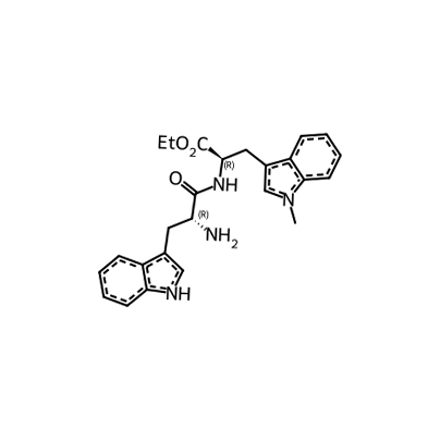 CCOC(=O)[C@@H](Cc1cn(C)c2ccccc12)NC(=O)[C@H](N)Cc1c[nH]c2ccccc12